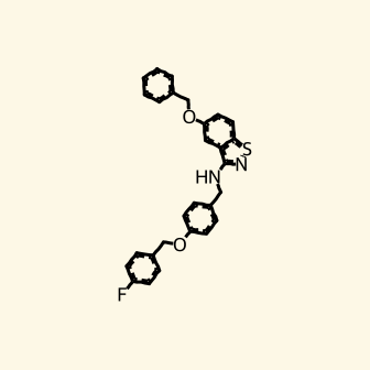 Fc1ccc(COc2ccc(CNc3nsc4ccc(OCc5ccccc5)cc34)cc2)cc1